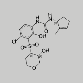 CC1=CCC[C@H]1NC(=O)Nc1ccc(Cl)c(S(=O)(=O)[C@H]2CCOC[C@H]2O)c1O